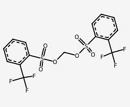 O=S(=O)(OCOS(=O)(=O)c1ccccc1C(F)(F)F)c1ccccc1C(F)(F)F